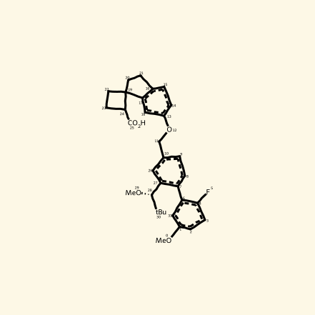 COc1ccc(F)c(-c2ccc(COc3ccc4c(c3)C3(CC4)CCC3C(=O)O)cc2[C@@H](OC)C(C)(C)C)c1